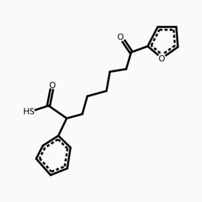 O=C(CCCCCC(C(=O)S)c1ccccc1)c1ccco1